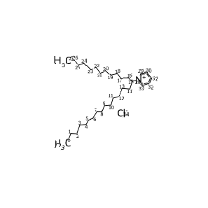 CCCCCCCCCCCCCCCC(CCCCCCCCCCCC)[n+]1ccccc1.[Cl-]